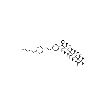 CCCCC[C@H]1CC[C@H](CCc2ccc(C(=O)C(F)(F)C(F)(F)C(F)(F)C(F)(F)C(F)(F)C(F)(F)C(F)(F)F)cc2)CC1